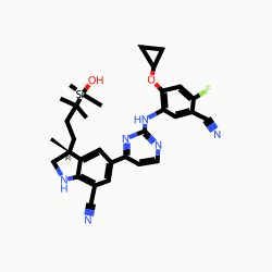 CC(C)(CC[C@@]1(C)CNc2c(C#N)cc(-c3ccnc(Nc4cc(C#N)c(F)cc4OC4CC4)n3)cc21)[Si](C)(C)O